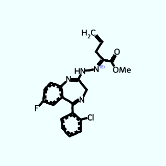 C=CC/C(=N\NC1=Nc2ccc(F)cc2C(c2ccccc2Cl)=NC1)C(=O)OC